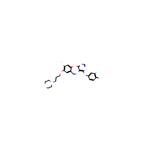 COc1cc2c(cc1OCCCN1CCOCC1)CNc1c(Nc3ccc(C)c(F)c3)ncnc1O2